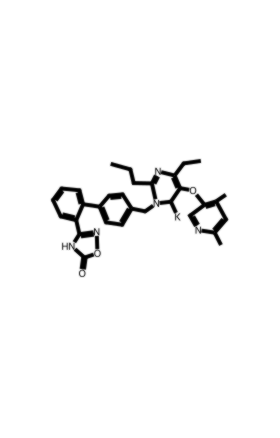 CCCC1=NC(CC)=C(Oc2cnc(C)cc2C)[CH]([K])N1Cc1ccc(-c2ccccc2-c2noc(=O)[nH]2)cc1